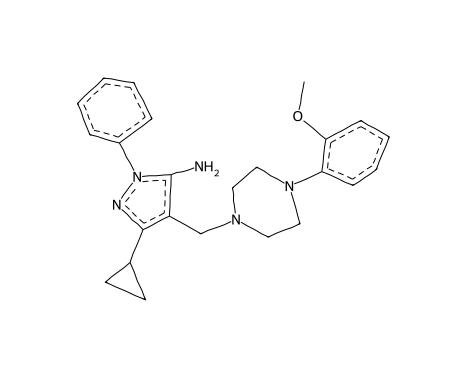 COc1ccccc1N1CCN(Cc2c(C3CC3)nn(-c3ccccc3)c2N)CC1